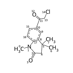 CN1C(=O)CC(C)(C)c2cc(C(=O)CCl)ccc21